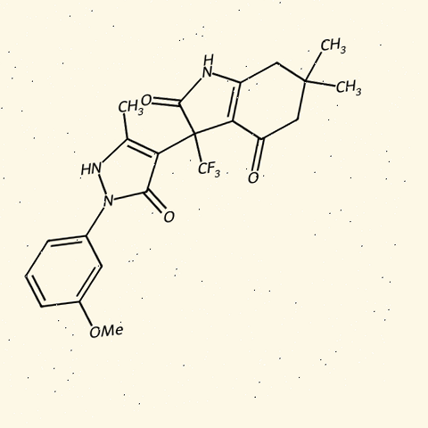 COc1cccc(-n2[nH]c(C)c(C3(C(F)(F)F)C(=O)NC4=C3C(=O)CC(C)(C)C4)c2=O)c1